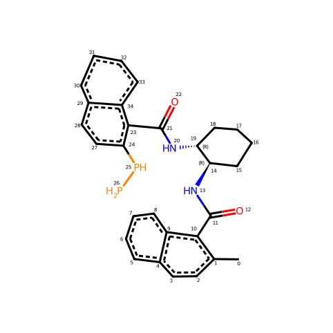 Cc1ccc2ccccc2c1C(=O)N[C@@H]1CCCC[C@H]1NC(=O)c1c(PP)ccc2ccccc12